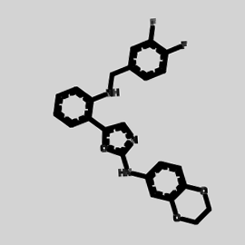 Fc1ccc(CNc2ccccc2-c2cnc(Nc3ccc4c(c3)OCCO4)o2)cc1F